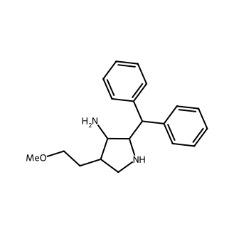 COCCC1CNC(C(c2ccccc2)c2ccccc2)C1N